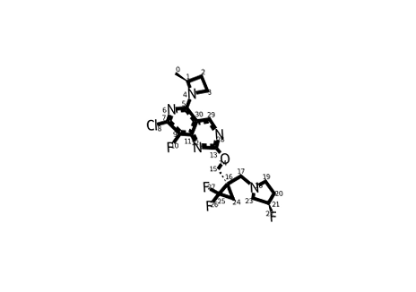 C[C@H]1CCN1c1nc(Cl)c(F)c2nc(OC[C@]3(CN4CC[C@@H](F)C4)CC3(F)F)ncc12